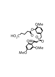 COc1cc(OC)c(C=CS(=O)(=O)Cc2ccc(OC)c(OC(=O)CCCC(=O)O)c2)c(OC)c1